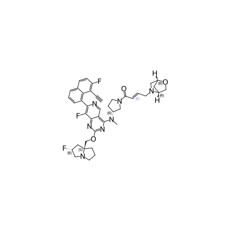 C#Cc1c(F)ccc2cccc(-c3ncc4c(N(C)[C@@H]5CCN(C(=O)/C=C/CN6C[C@H]7C[C@@H]6CO7)C5)nc(OC[C@@]56CCCN5C[C@H](F)C6)nc4c3F)c12